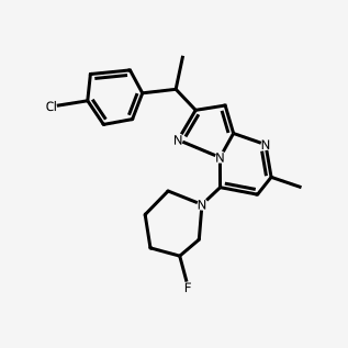 Cc1cc(N2CCCC(F)C2)n2nc(C(C)c3ccc(Cl)cc3)cc2n1